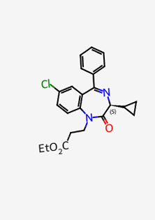 CCOC(=O)CCN1C(=O)[C@H](C2CC2)N=C(c2ccccc2)c2cc(Cl)ccc21